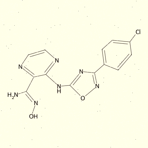 NC(=NO)c1nccnc1Nc1nc(-c2ccc(Cl)cc2)no1